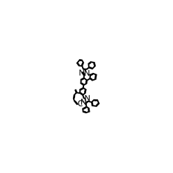 C=C1/C=C\C=C/Cn2c(nc(-c3ccccc3)c2-c2ccccc2)-c2ccc(-c3ccc4c(c3)c3ccccc3n3c(-c5ccccc5)c(-c5ccccc5)nc43)cc21